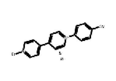 CC[n+]1ccc(-c2cc[n+](-c3ccc(C#N)cc3)cc2)cc1.[Br-].[Br-]